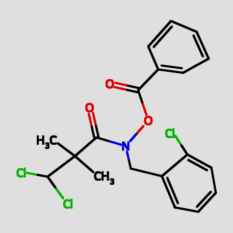 CC(C)(C(=O)N(Cc1ccccc1Cl)OC(=O)c1ccccc1)C(Cl)Cl